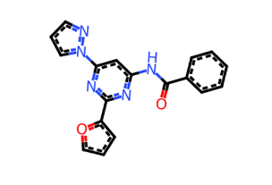 O=C(Nc1cc(-n2cccn2)nc(-c2ccco2)n1)c1ccccc1